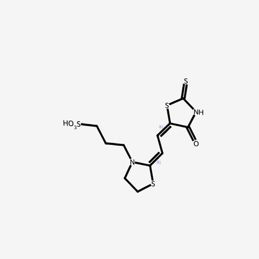 O=C1NC(=S)S/C1=C/C=C1/SCCN1CCCS(=O)(=O)O